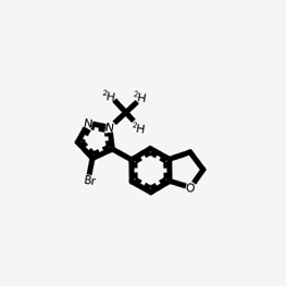 [2H]C([2H])([2H])n1ncc(Br)c1-c1ccc2c(c1)CCO2